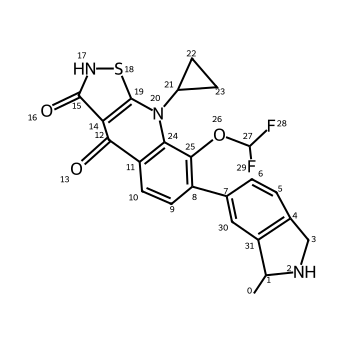 CC1NCc2ccc(-c3ccc4c(=O)c5c(=O)[nH]sc5n(C5CC5)c4c3OC(F)F)cc21